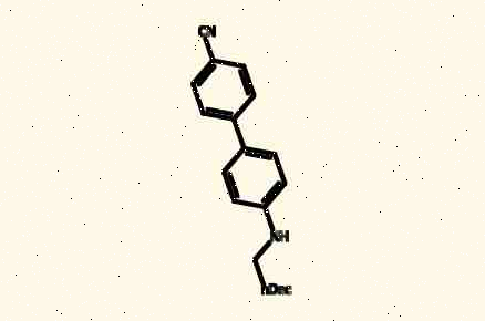 CCCCCCCCCCCNc1ccc(-c2ccc(C#N)cc2)cc1